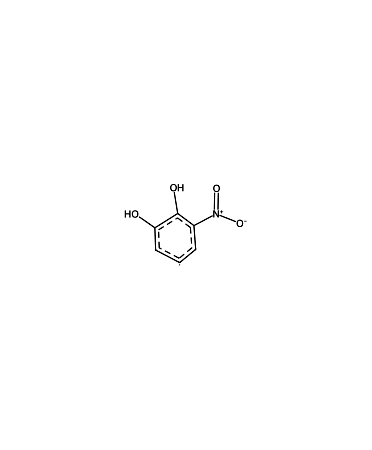 O=[N+]([O-])c1c[c]cc(O)c1O